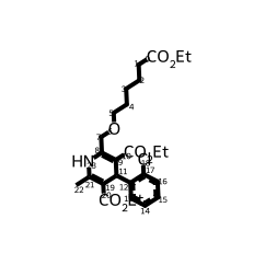 CCOC(=O)CCCCCOCC1=C(C(=O)OCC)C(c2ccccc2Cl)C(C(=O)OCC)=C(C)N1